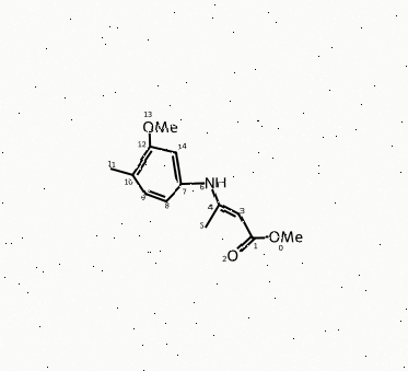 COC(=O)/C=C(\C)Nc1ccc(C)c(OC)c1